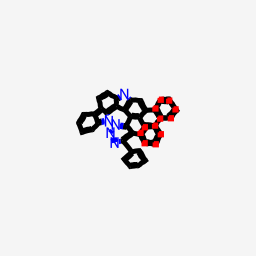 c1ccc(-c2ccccc2-c2c(-c3ccccc3)cc3c(c2-c2nnnc(-c4ccccc4)c2-c2ccccc2)-c2c4c(ccc2=N3)=c2ccccc2=N4)cc1